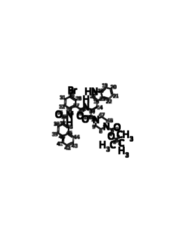 CC(C)(C)OC(=O)N1CCN(C(=O)[C@H](Cc2c[nH]c3ccccc23)NC(=O)c2cc(Br)ccc2NC(=O)c2ccc3ccccc3c2)CC1